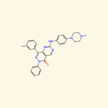 Cc1cccc(-c2nn(-c3ccccc3)c(=O)c3cnc(Nc4ccc(N5CCN(C)CC5)cc4)nc23)c1